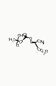 CCOC(=O)C(C#N)=NOC(=O)OC(C)(C)CC